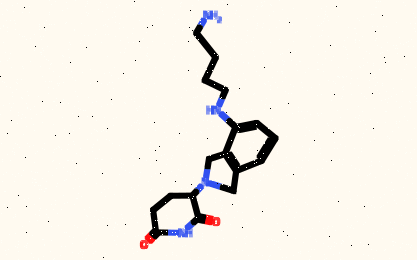 NCCCCNc1cccc2c1CN(C1CCC(=O)NC1=O)C2